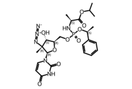 CC(C)OC(=O)[C@H](C)NP(=O)(OC[C@H]1O[C@@H](n2ccc(=O)[nH]c2=O)[C@](C)(N=[N+]=[N-])[C@@H]1O)O[C@@H](C)c1ccccc1